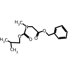 CC(C)COC(=O)N(C)CC(=O)OCc1ccccc1